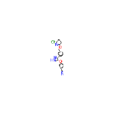 N#Cc1ccc(Oc2c[nH]nc2-c2cccc(COc3cccc(Cl)n3)c2)cc1